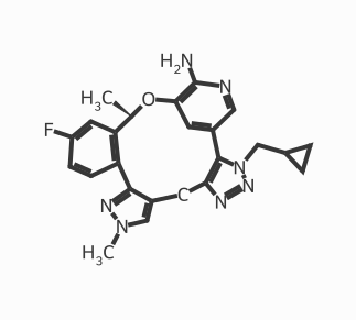 C[C@H]1Oc2cc(cnc2N)-c2c(nnn2CC2CC2)Cc2cn(C)nc2-c2ccc(F)cc21